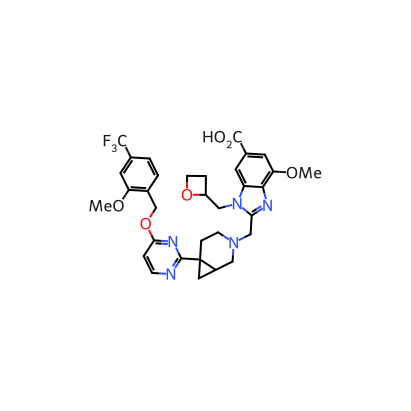 COc1cc(C(F)(F)F)ccc1COc1ccnc(C23CCN(Cc4nc5c(OC)cc(C(=O)O)cc5n4CC4CCO4)CC2C3)n1